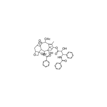 CC(=O)OC1C(=O)C23OC2CC2OCC2(OC(C)=O)C3C(OC(=O)c2ccccc2)C2(O)CC(OC(=O)C(O)C(NC(=O)c3ccccc3)c3ccccc3)C(C)=C1C2(C)C